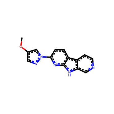 COc1cnn(-c2ccc3c(n2)[nH]c2cnccc23)c1